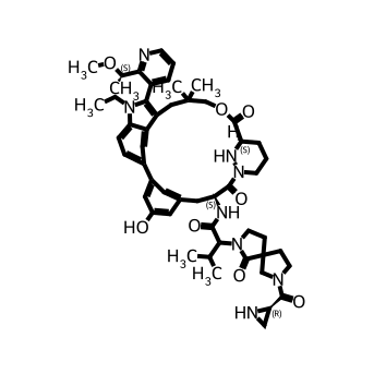 CCn1c(-c2cccnc2[C@H](C)OC)c2c3cc(ccc31)-c1cc(O)cc(c1)C[C@H](NC(=O)C(C(C)C)N1CCC3(CCN(C(=O)[C@H]4CN4)C3)C1=O)C(=O)N1CCC[C@H](N1)C(=O)OCC(C)(C)C2